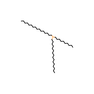 CCCCCCCCCCCCCCCCP(CCCCCCCCCC)CCCCCCCCCCCCCCCC